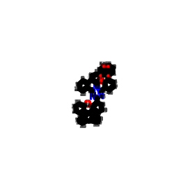 c1ccc(-c2ccc(-c3ccccc3-c3nc(-c4cccc5c4Oc4ccccc4C54c5ccccc5-c5ccccc54)nc(-c4cccc5c4oc4ccccc45)n3)cc2)cc1